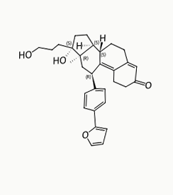 C[C@@]12C[C@H](c3ccc(-c4ccco4)cc3)C3=C4CCC(=O)C=C4CC[C@H]3[C@@H]1CC[C@]2(O)CCCO